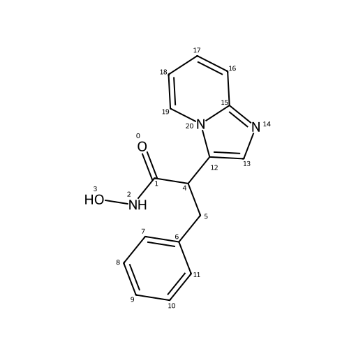 O=C(NO)C(Cc1ccccc1)c1cnc2ccccn12